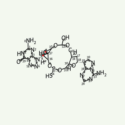 Nc1nc2c(nnn2[C@@H]2SC3OC(O)OC[C@H]4C[C@H](c5cnn6c(N)ncnc56)O[C@@H]4COP(S)O[C@@H]2[C@@H]3O)c(=O)[nH]1